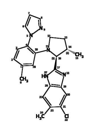 Cc1c[c]c(-n2cccn2)c(N2CC[C@H](C)[C@H]2c2nc3cc(Cl)c(C)cc3[nH]2)c1